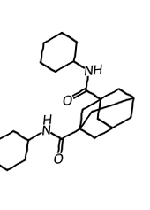 O=C(NC1CCCCC1)C12CC3CC(C1)CC(C(=O)NC1CCCCC1)(C3)C2